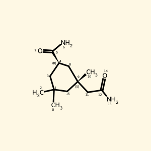 CC1(C)C[C@@H](C(N)=O)C[C@](C)(CC(N)=O)C1